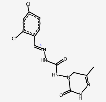 CC1=NNC(=O)N(NC(=O)N/N=C/c2ccc(Cl)cc2Cl)C1